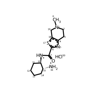 CN1CCc2nc(C(=O)N[C@@H]3CCCC[C@H]3N)sc2C1.Cl